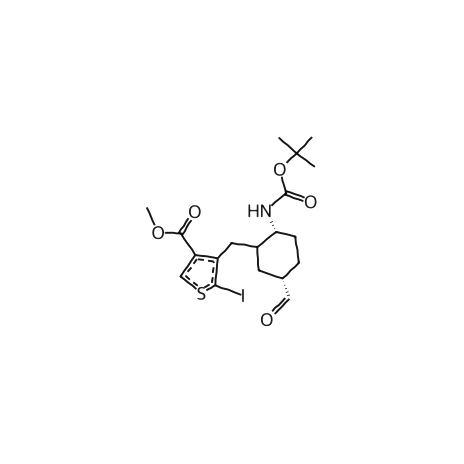 COC(=O)c1csc(I)c1CC1C[C@@H](C=O)CC[C@H]1NC(=O)OC(C)(C)C